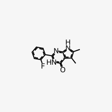 Cc1[nH]c2nc(-c3ccccc3F)[nH]c(=O)c2c1C